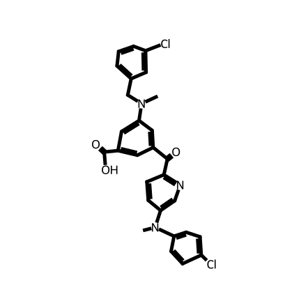 CN(Cc1cccc(Cl)c1)c1cc(C(=O)O)cc(C(=O)c2ccc(N(C)c3ccc(Cl)cc3)cn2)c1